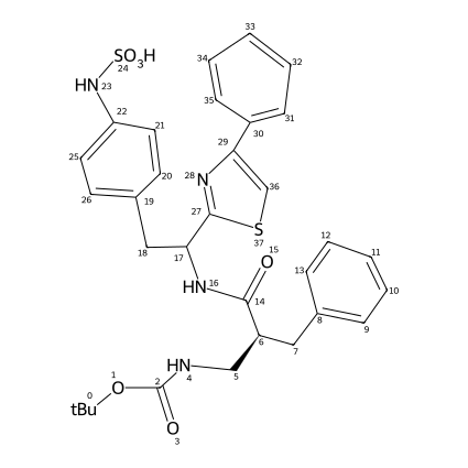 CC(C)(C)OC(=O)NC[C@H](Cc1ccccc1)C(=O)NC(Cc1ccc(NS(=O)(=O)O)cc1)c1nc(-c2ccccc2)cs1